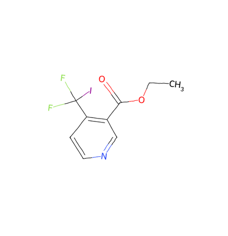 CCOC(=O)c1cnccc1C(F)(F)I